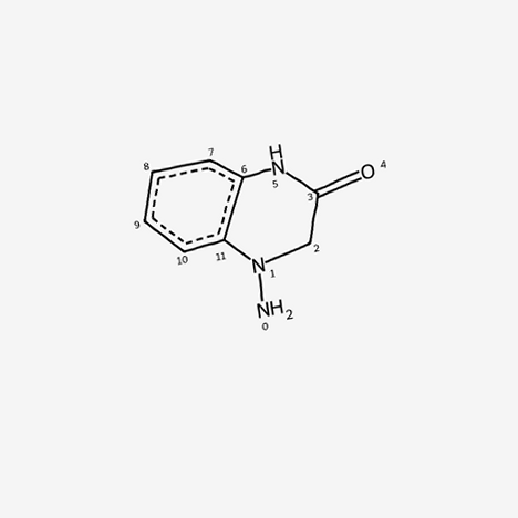 NN1CC(=O)Nc2ccccc21